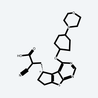 N#CC(C[C@H]1CCc2sc3ncnc(OC4CCC(N5CCOCC5)CC4)c3c21)C(=O)O